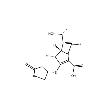 C[C@@H](O)[C@H]1C(=O)N2C(C(=O)O)=C(S[C@@H]3CNC(=O)C3)[C@H](C)[C@H]12